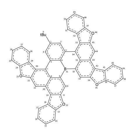 CC(C)(C)c1cc2c3c(c1)-c1c4c(cc5oc6ccccc6c5c4cc4oc5ccccc5c14)B3c1cc3oc4ccccc4c3c3cc4oc5ccccc5c4c-2c13